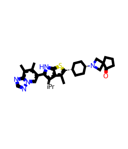 Cc1c(-c2[nH]c3sc([C@H]4CC[C@@H](N5CC6(CCCC6=O)C5)CC4)c(C)c3c2C(C)C)cn2ncnc2c1C